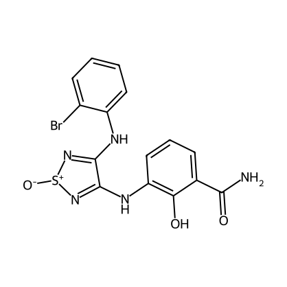 NC(=O)c1cccc(Nc2n[s+]([O-])nc2Nc2ccccc2Br)c1O